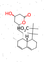 C[C@H]1C=CC2=CCCC(C(C)(C)C(C)(C)C(=O)O)[C@H]2[C@H]1CCC1C[C@@H](O)CC(=O)O1